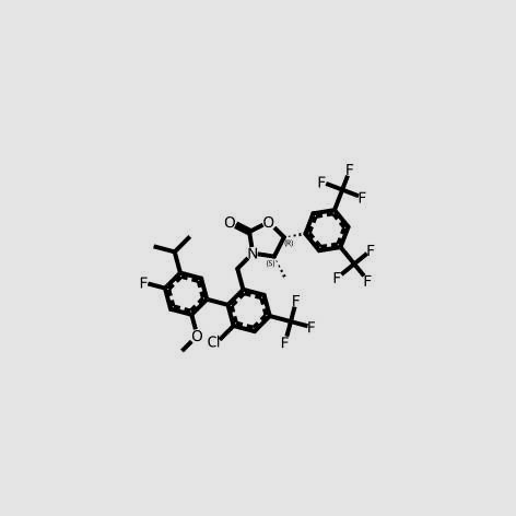 COc1cc(F)c(C(C)C)cc1-c1c(Cl)cc(C(F)(F)F)cc1CN1C(=O)O[C@H](c2cc(C(F)(F)F)cc(C(F)(F)F)c2)[C@@H]1C